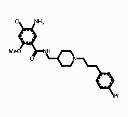 COc1cc(Cl)c(N)cc1C(=O)NCC1CCN(CC[CH]c2ccc(C(C)C)cc2)CC1